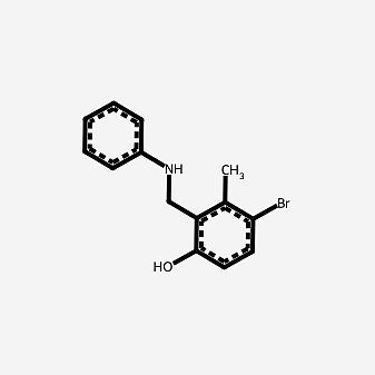 Cc1c(Br)ccc(O)c1CNc1ccccc1